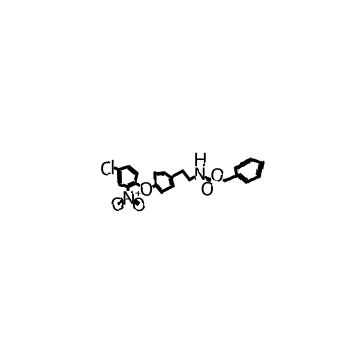 O=C(NCCc1ccc(Oc2ccc(Cl)cc2[N+](=O)[O-])cc1)OCc1ccccc1